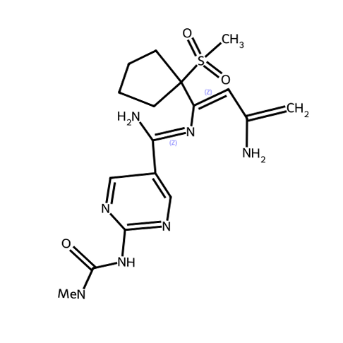 C=C(N)/C=C(\N=C(/N)c1cnc(NC(=O)NC)nc1)C1(S(C)(=O)=O)CCCC1